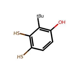 CC(C)(C)c1c(O)ccc(S)c1S